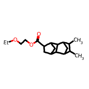 CCOCCOC(=O)C1CC2CC1C1C3CC(C(C)C3C)C21